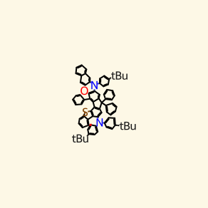 CC(C)(C)c1ccc(N(c2ccc3ccccc3c2)c2cc3c(c4c2oc2ccccc24)-c2c(cc(N(c4ccc(C(C)(C)C)cc4)c4ccc(C(C)(C)C)cc4)c4c2sc2ccccc24)C3(c2ccccc2)c2ccccc2)cc1